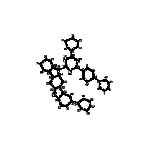 c1ccc(-c2ccc(-c3nc(-c4ccccc4)nc(-n4c5ccccc5c5cc6oc7ccc(-c8ccccc8)cc7c6cc54)n3)cc2)cc1